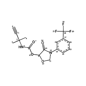 C#CC(C)(C)NC(=O)OC1OCN(c2cccc(C(F)(F)F)c2)C1=O